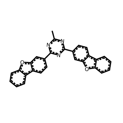 Cc1nc(-c2ccc3c(c2)oc2ccccc23)nc(-c2ccc3c(c2)oc2ccccc23)n1